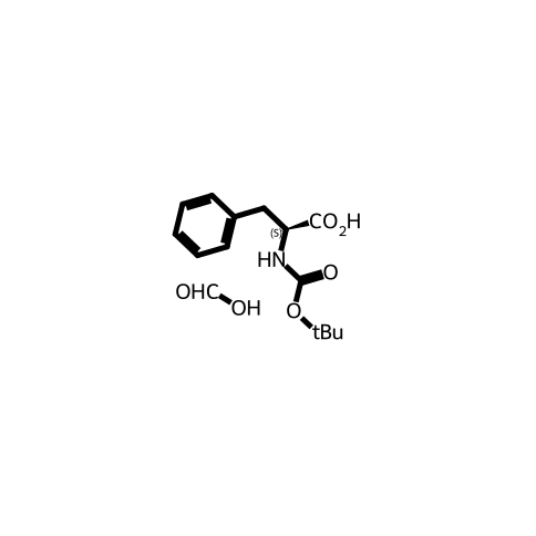 CC(C)(C)OC(=O)N[C@@H](Cc1ccccc1)C(=O)O.O=CO